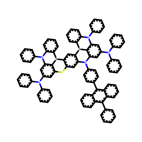 c1ccc(-c2c3ccccc3c(-c3ccc(N4c5cc6c(cc5B5c7ccccc7N(c7ccccc7)c7cc(N(c8ccccc8)c8ccccc8)cc4c75)B4c5ccccc5N(c5ccccc5)c5cc(N(c7ccccc7)c7ccccc7)cc(c54)S6)cc3)c3ccccc23)cc1